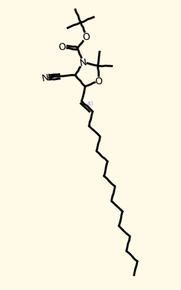 CCCCCCCCCCCCC/C=C/C1OC(C)(C)N(C(=O)OC(C)(C)C)C1C#N